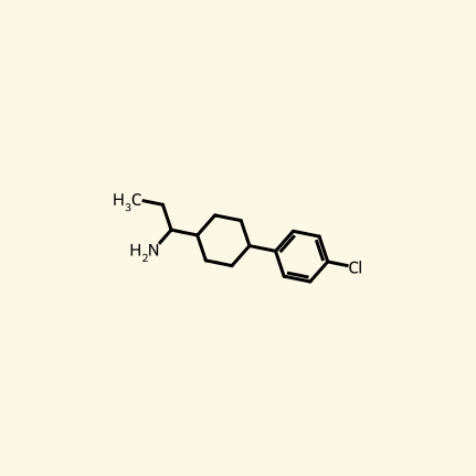 CCC(N)C1CCC(c2ccc(Cl)cc2)CC1